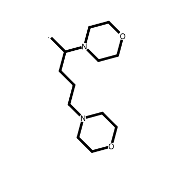 [CH2]C(CCCN1CCOCC1)N1CCOCC1